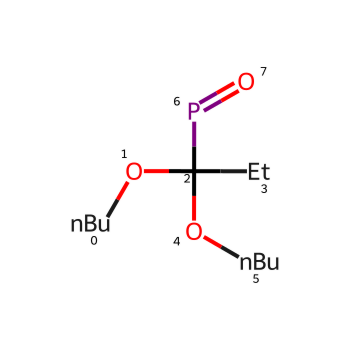 CCCCOC(CC)(OCCCC)P=O